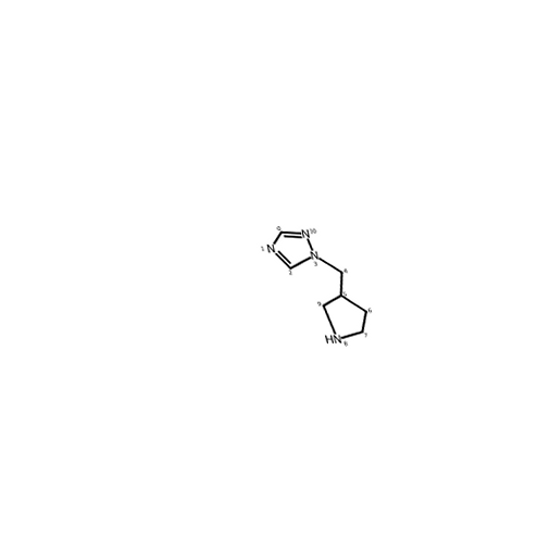 c1ncn(CC2CCNC2)n1